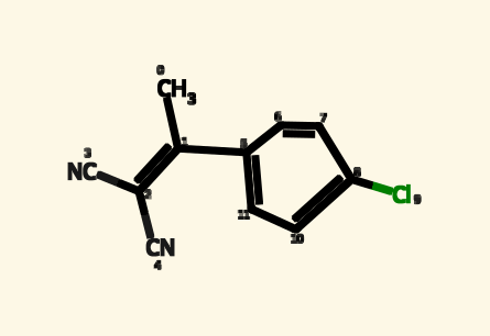 CC(=C(C#N)C#N)c1ccc(Cl)cc1